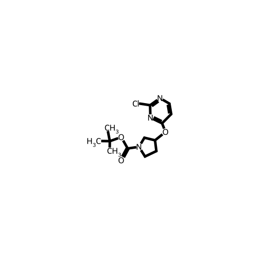 CC(C)(C)OC(=O)N1CCC(Oc2ccnc(Cl)n2)C1